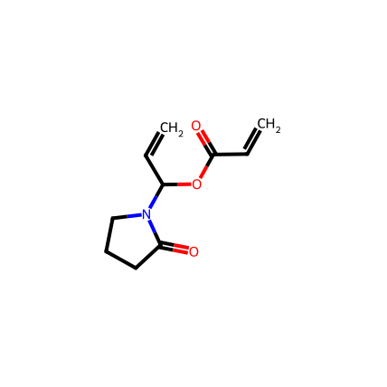 C=CC(=O)OC(C=C)N1CCCC1=O